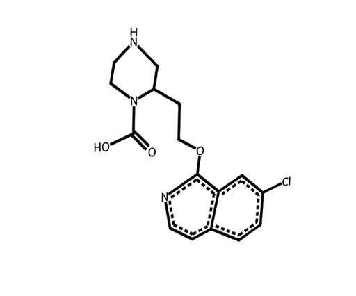 O=C(O)N1CCNCC1CCOc1nccc2ccc(Cl)cc12